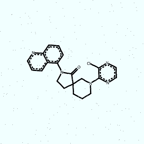 O=C1N(c2cccc3ncccc23)CCC12CCCN(c1nccnc1Cl)C2